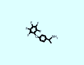 CC(N)c1ccc(Oc2c(F)c(F)c(F)c(F)c2F)cc1